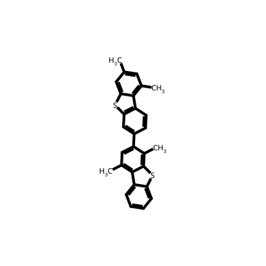 Cc1cc(C)c2c(c1)sc1cc(-c3cc(C)c4c(sc5ccccc54)c3C)ccc12